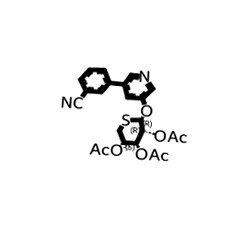 CC(=O)O[C@@H]1[C@@H](OC(C)=O)[C@H](OC(C)=O)CS[C@H]1Oc1cncc(-c2cccc(C#N)c2)c1